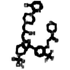 CS(=O)(=O)N1CCc2c(c(-c3ccc(C(F)(F)F)c(SCC(=O)N4CCOCC4)c3)nn2CC(O)CN2CCN(c3ncccc3Cl)CC2)C1